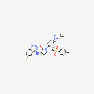 Cc1ccc(S(=O)(=O)C[C@@H]2C[C@H](NCC(C)C)CC[C@@H]2N2CC[C@H](Nc3ncnc4ccc(F)cc34)C2=O)cc1